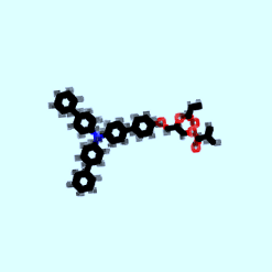 C=CC(=O)OC(COC(=O)C(=C)C)COc1ccc(-c2ccc(N(c3ccc(-c4ccccc4)cc3)c3ccc(-c4ccccc4)cc3)cc2)cc1